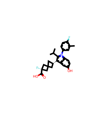 Cc1cc(-n2c(C(C)C)c([C@H]3CC4(C3)C[C@](F)(C(=O)O)C4)c3cc(O)ccc32)ccc1F